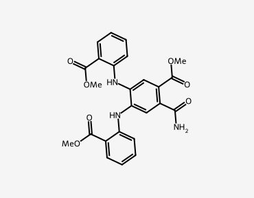 COC(=O)c1ccccc1Nc1cc(C(N)=O)c(C(=O)OC)cc1Nc1ccccc1C(=O)OC